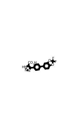 O=C(O)c1[nH]nnc1-c1ccc(-c2ccc3c(c2)OC(F)(F)O3)cc1